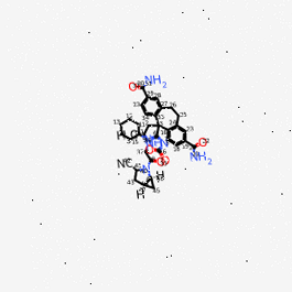 C[C@H](CC1(c2nc(=O)on2C2CCCCC2)c2ccc(C(N)=O)cc2CCc2cc(C(N)=O)ccc21)NCC(=O)N1C(C#N)C[C@@H]2C[C@@H]21